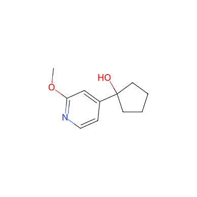 COc1cc(C2(O)CCCC2)ccn1